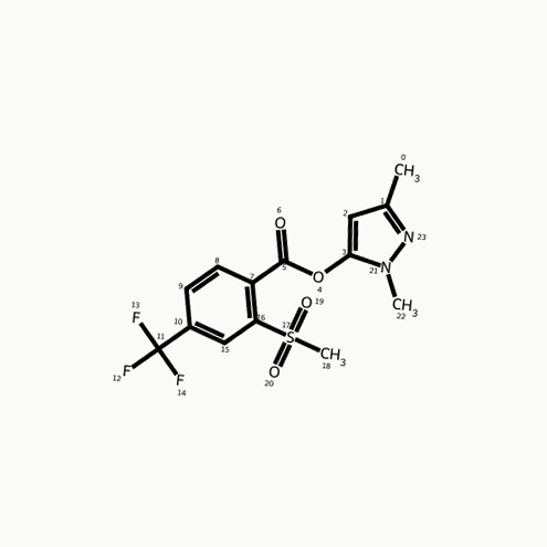 Cc1cc(OC(=O)c2ccc(C(F)(F)F)cc2S(C)(=O)=O)n(C)n1